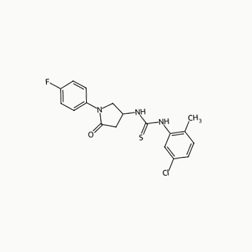 Cc1ccc(Cl)cc1NC(=S)NC1CC(=O)N(c2ccc(F)cc2)C1